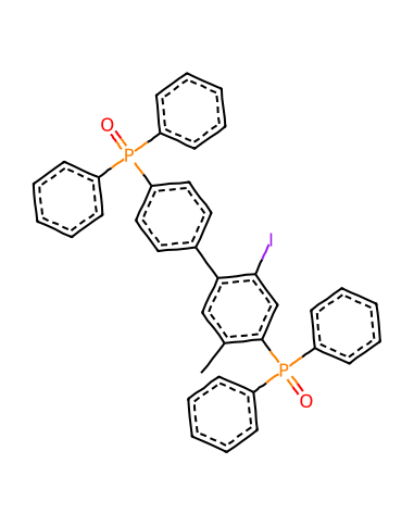 Cc1cc(-c2ccc(P(=O)(c3ccccc3)c3ccccc3)cc2)c(I)cc1P(=O)(c1ccccc1)c1ccccc1